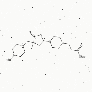 COC(=O)CCN1CCN(C2C[N+](C)(CC3CCN(C(C)(C)C)CC3)C(=O)O2)CC1